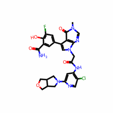 Cn1cnc2c(c(-c3cc(F)c(O)c(C(N)=O)c3)cn2CC(=O)Nc2cc(N3CC4COCC4C3)ncc2Cl)c1=O